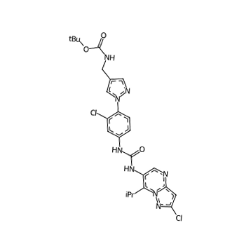 CC(C)c1c(NC(=O)Nc2ccc(-n3cc(CNC(=O)OC(C)(C)C)cn3)c(Cl)c2)cnc2cc(Cl)nn12